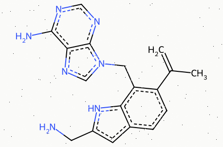 C=C(C)c1ccc2cc(CN)[nH]c2c1Cn1cnc2c(N)ncnc21